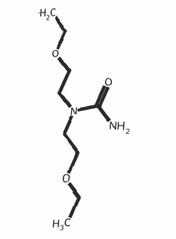 [CH2]COCCN(CCOCC)C(N)=O